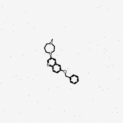 CN1CCCN(c2cnc3ccc(OCc4ccccc4)cc3c2)CC1